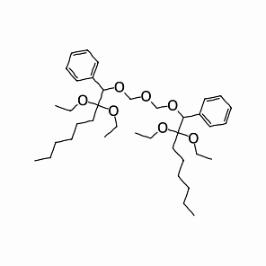 CCCCCCC(OCC)(OCC)C(OCOCOC(c1ccccc1)C(CCCCCC)(OCC)OCC)c1ccccc1